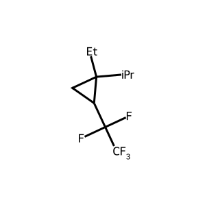 CCC1(C(C)C)CC1C(F)(F)C(F)(F)F